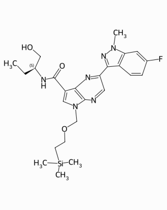 CC[C@@H](CO)NC(=O)c1cn(COCC[Si](C)(C)C)c2ncc(-c3nn(C)c4cc(F)ccc34)nc12